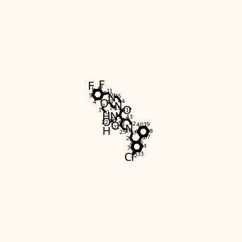 CCOc1ccc(F)c(F)c1CN1CCN(C(=O)C(NC(=O)O)C2CCN(CCc3cc(Cl)ccc3-c3ccccc3)CC2)CC1